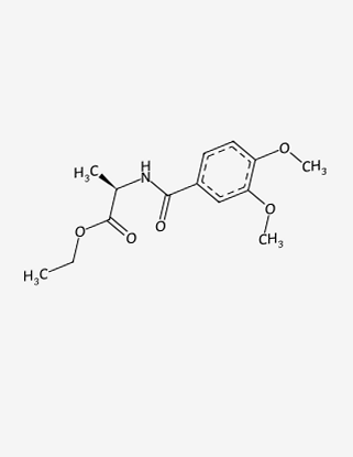 CCOC(=O)[C@@H](C)NC(=O)c1ccc(OC)c(OC)c1